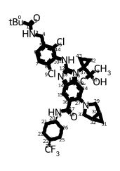 CC(C)(C)C(=O)NCc1ccc(Cl)c(Nc2nc3cc(C(=O)N[C@H]4CC[C@H](C(F)(F)F)CC4)c(N4CC5CC5C4)cc3n2C2(C(C)(C)O)CC2)c1Cl